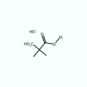 CCOC(=O)C(C)(C)C(=O)O.Cl